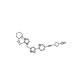 C[C@H](OC1CCCCO1)c1nccn1Cc1cc(-c2ccc(C#CC3CC(O)C3)cn2)on1